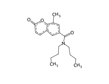 CCCCN(CCCC)C(=O)c1cc(C)c2oc(=O)ccc2c1